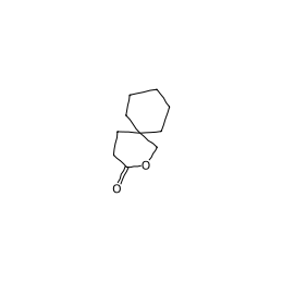 O=C1CCC2(CCCCC2)CO1